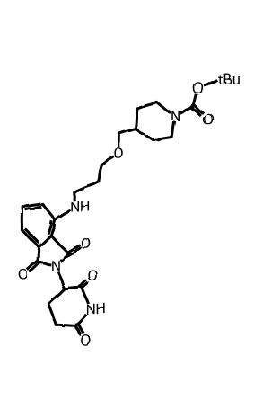 CC(C)(C)OC(=O)N1CCC(COCCCNc2cccc3c2C(=O)N(C2CCC(=O)NC2=O)C3=O)CC1